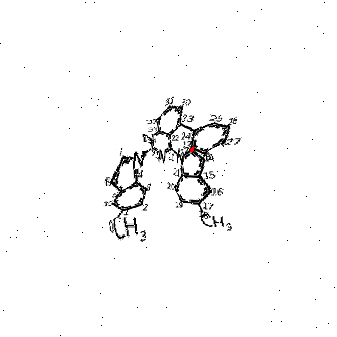 Cc1ccc2c(ccn2-c2nc(-n3ccc4cc(C)ccc43)c3c(-c4ccccc4)cccc3n2)c1